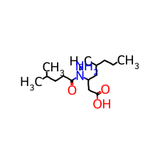 CCCC(C)CC(CC(=O)O)N(N)C(=O)CCC(C)C